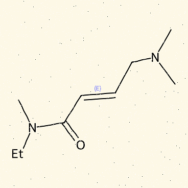 CCN(C)C(=O)/C=C/CN(C)C